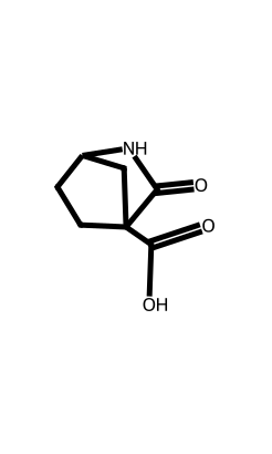 O=C(O)C12CCC(C1)NC2=O